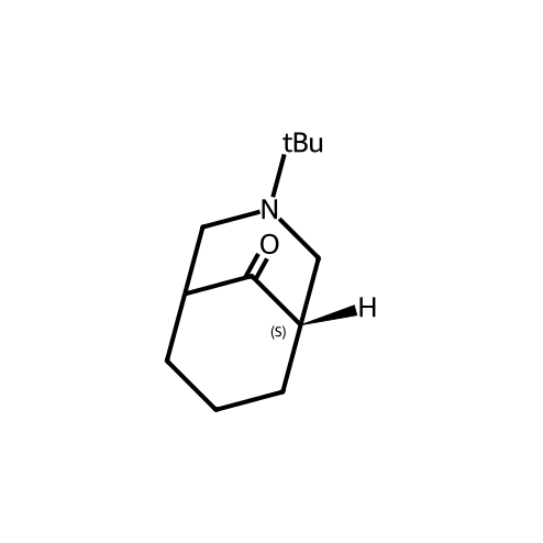 CC(C)(C)N1CC2CCC[C@@H](C1)C2=O